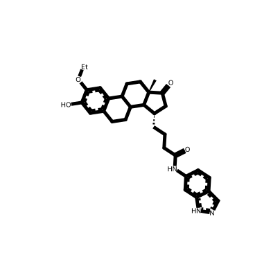 CCOc1cc2c(cc1O)CCC1C2CC[C@]2(C)C(=O)C[C@H](CCCC(=O)Nc3ccc4cn[nH]c4c3)C12